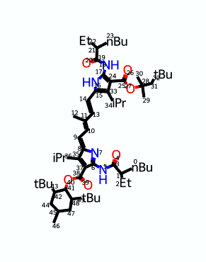 CCCCC(CC)C(=O)NC1=N\C(=C/C=C(C)/C=C/c2[nH]c(NC(=O)C(CC)CCCC)c(C(=O)OC(C)(C)CC(C)(C)C)c2C(C)C)C(C(C)C)=C1C(=O)OC1C(C(C)(C)C)CC(C)CC1C(C)(C)C